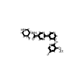 CCOc1cc(F)cnc1Oc1cncc(-c2ncc(C(=O)N[C@H]3CNCC[C@@H]3F)cn2)c1